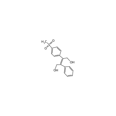 CS(=O)(=O)c1ccc(C(CO)=C(CO)c2ccccc2)cc1